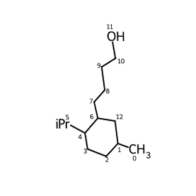 CC1CCC(C(C)C)C(CCCCO)C1